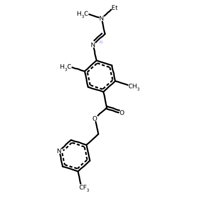 CCN(C)/C=N/c1cc(C)c(C(=O)OCc2cncc(C(F)(F)F)c2)cc1C